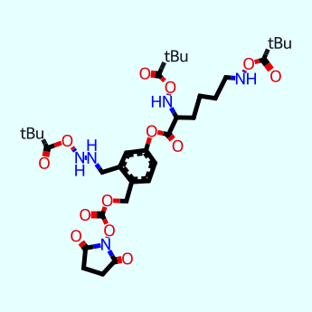 CC(C)(C)C(=O)ONCCCCC(NOC(=O)C(C)(C)C)C(=O)Oc1ccc(COC(=O)ON2C(=O)CCC2=O)c(CNNOC(=O)C(C)(C)C)c1